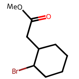 COC(=O)CC1CCCCC1Br